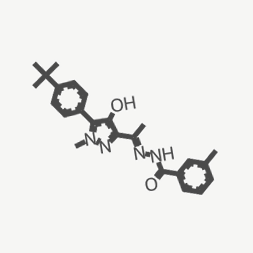 C/C(=N\NC(=O)c1cccc(C)c1)c1nn(C)c(-c2ccc(C(C)(C)C)cc2)c1O